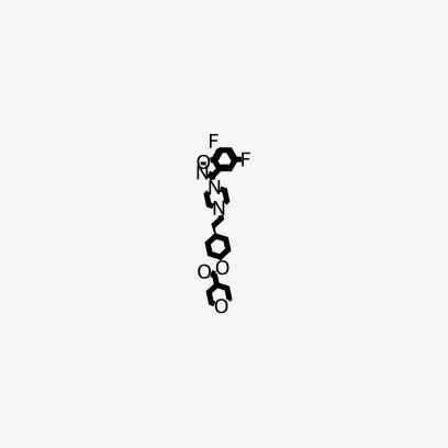 O=C(O[C@H]1CC[C@H](CCN2CCN(c3noc4c(F)cc(F)cc34)CC2)CC1)C1CCOCC1